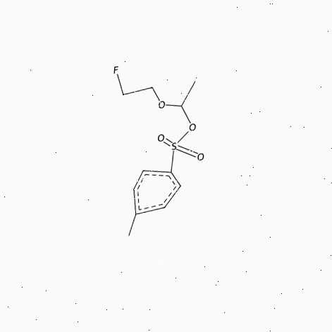 Cc1ccc(S(=O)(=O)OC(C)OCCF)cc1